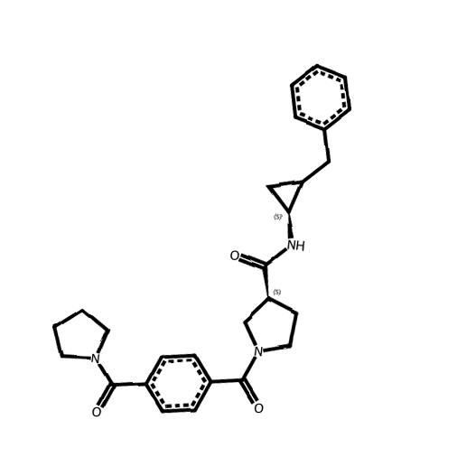 O=C(N[C@H]1CC1Cc1ccccc1)[C@H]1CCN(C(=O)c2ccc(C(=O)N3CCCC3)cc2)C1